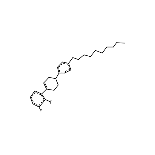 CCCCCCCCCCc1ccc(C2CC=C(c3cccc(F)c3F)CC2)cc1